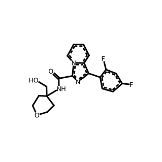 O=C(NC1(CO)CCOCC1)c1nc(-c2ccc(F)cc2F)c2ccccn12